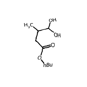 CCCCOC(=O)CC(C)C(O)O